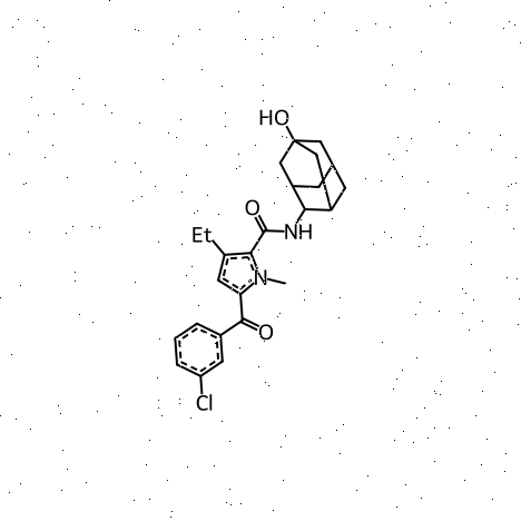 CCc1cc(C(=O)c2cccc(Cl)c2)n(C)c1C(=O)NC1C2CC3CC1CC(O)(C3)C2